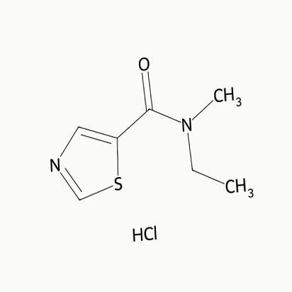 CCN(C)C(=O)c1cncs1.Cl